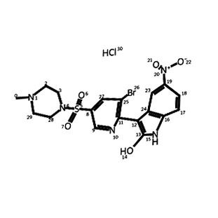 CN1CCN(S(=O)(=O)c2cnc(-c3c(O)[nH]c4ccc([N+](=O)[O-])cc34)c(Br)c2)CC1.Cl